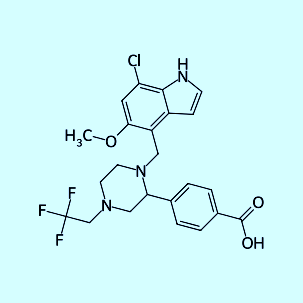 COc1cc(Cl)c2[nH]ccc2c1CN1CCN(CC(F)(F)F)CC1c1ccc(C(=O)O)cc1